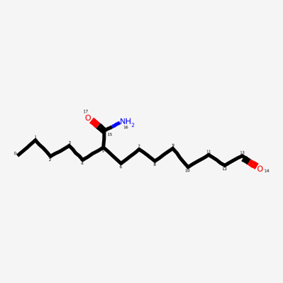 CCCCCC(CCCCCCCC=O)C(N)=O